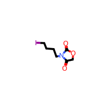 O=C1COC(=O)N1CCCCI